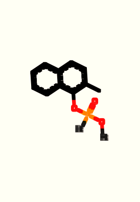 CCOP(=O)(CC)Oc1c(C)ccc2ccccc12